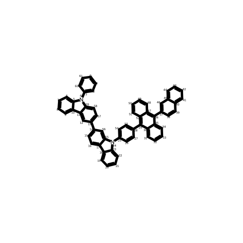 c1ccc(-n2c3ccccc3c3cc(-c4ccc5c6ccccc6n(-c6ccc(-c7c8ccccc8c(-c8ccc9ccccc9c8)c8ccccc78)cc6)c5c4)ccc32)cc1